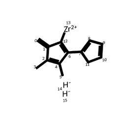 C=C1C(C)=C(C)C(C2=CC=CC2)=[C]1[Zr+2].[H-].[H-]